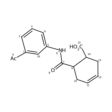 CC(=O)c1cccc(NC(=O)C2CC=CCC2C(=O)O)c1